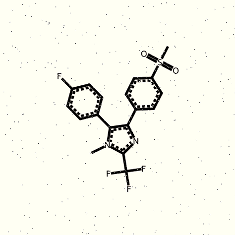 Cn1c(C(F)(F)F)nc(-c2ccc(S(C)(=O)=O)cc2)c1-c1ccc(F)cc1